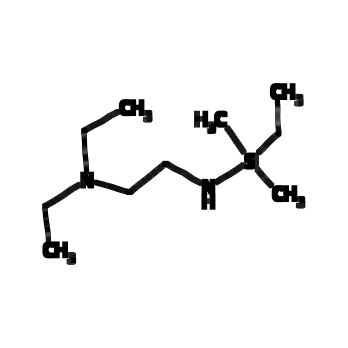 CCN(CC)CCN[Si](C)(C)CC